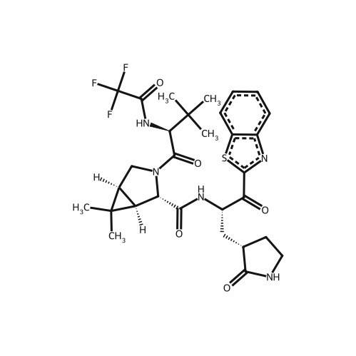 CC(C)(C)[C@H](NC(=O)C(F)(F)F)C(=O)N1C[C@H]2[C@@H]([C@H]1C(=O)N[C@@H](C[C@@H]1CCNC1=O)C(=O)c1nc3ccccc3s1)C2(C)C